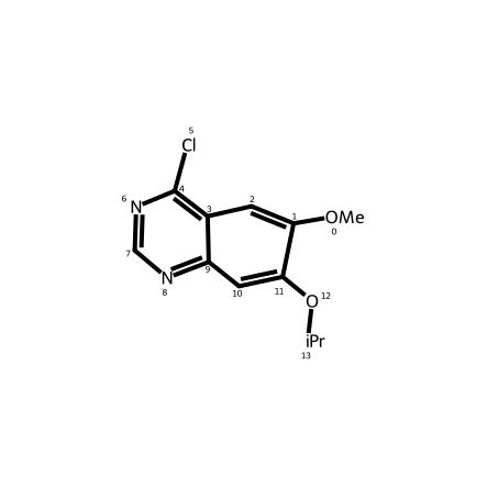 COc1cc2c(Cl)ncnc2cc1OC(C)C